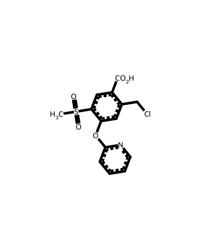 CS(=O)(=O)c1cc(C(=O)O)c(CCl)cc1Oc1ccccn1